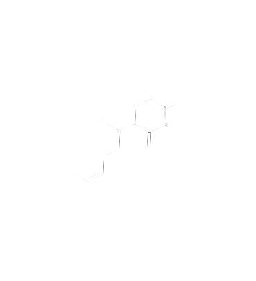 CC/C=C\OCN(C(C)=O)C1CCC(=O)NC1=O